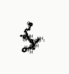 C/C=C/[C@@H]1O[C@H]([C@@H](/C=C/C=C(\C)C[C@@H](C)/C=C(C)\C=C\[C@H]2CC=CC(=O)O2)NC(=O)OCc2ccc(NC(=O)[C@H](CCCNC(N)=O)NC(=O)[C@@H](NC(=O)OC[C@@H]3[C@@H]4CCC#CCC[C@@H]43)C(C)C)cc2)C[C@@H](O)[C@@H]1C